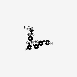 Cc1nc(C(=O)N[C@H]2CC[C@H](NC(=O)c3cc(F)cnc3Oc3cccc(-c4ccc(CN5CCNCC5)cc4O)c3)CC2)cs1